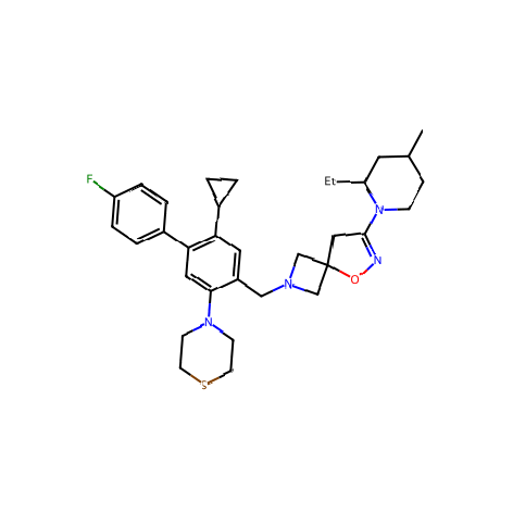 CCC1CC(C)CCN1C1=NOC2(C1)CN(Cc1cc(C3CC3)c(-c3ccc(F)cc3)cc1N1CCSCC1)C2